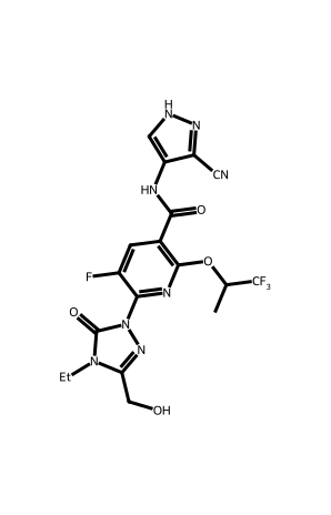 CCn1c(CO)nn(-c2nc(OC(C)C(F)(F)F)c(C(=O)Nc3c[nH]nc3C#N)cc2F)c1=O